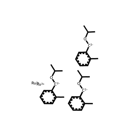 Cc1ccccc1[C-2]OC(C)C.Cc1ccccc1[C-2]OC(C)C.Cc1ccccc1[C-2]OC(C)C.[Ru+3].[Ru+3]